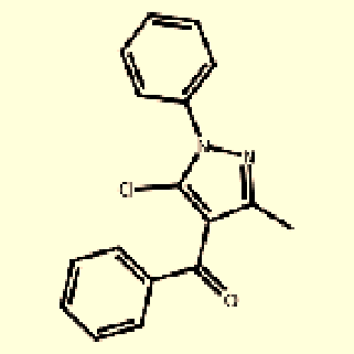 Cc1nn(-c2ccccc2)c(Cl)c1C(=O)c1ccccc1